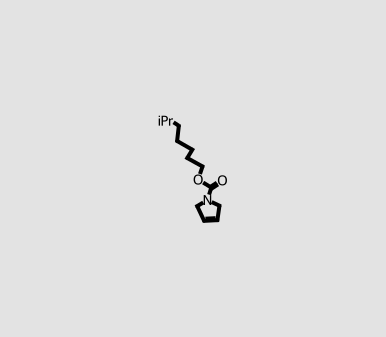 CC(C)CCCCCOC(=O)N1CC=CC1